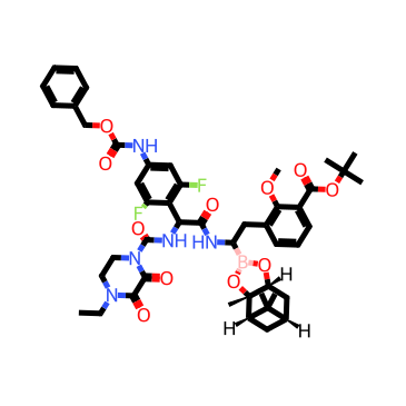 CCN1CCN(C(=O)NC(C(=O)NC(Cc2cccc(C(=O)OC(C)(C)C)c2OC)B2O[C@@H]3C[C@@H]4C[C@@H](C4(C)C)[C@]3(C)O2)c2c(F)cc(NC(=O)OCc3ccccc3)cc2F)C(=O)C1=O